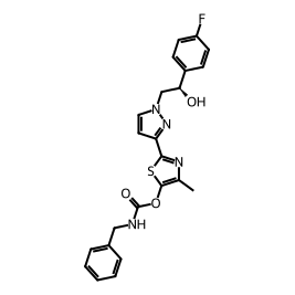 Cc1nc(-c2ccn(C[C@H](O)c3ccc(F)cc3)n2)sc1OC(=O)NCc1ccccc1